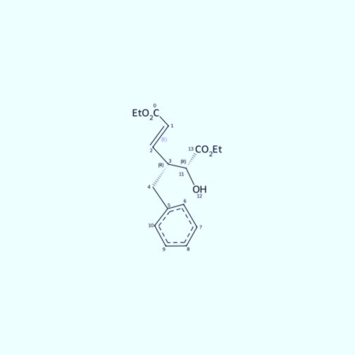 CCOC(=O)/C=C/[C@@H](Cc1ccccc1)[C@@H](O)C(=O)OCC